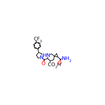 NC(=O)C1CC12CNC(C(=O)N1CCC(c3ccc(C(F)(F)F)cc3)C1)C(C(=O)O)C2